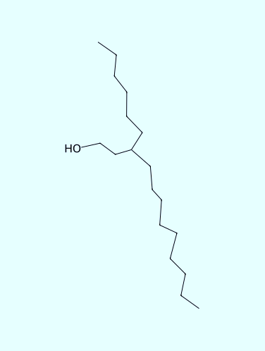 CCCCCCCCCC(CCO)CCCCCC